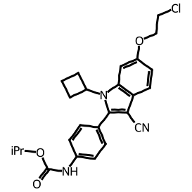 CC(C)OC(=O)Nc1ccc(-c2c(C#N)c3ccc(OCCCl)cc3n2C2CCC2)cc1